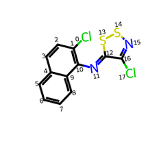 Clc1ccc2ccccc2c1N=c1ssnc1Cl